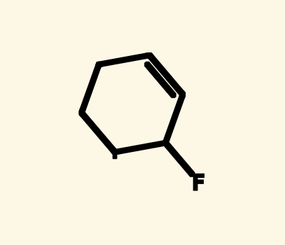 FC1[CH]CCC=C1